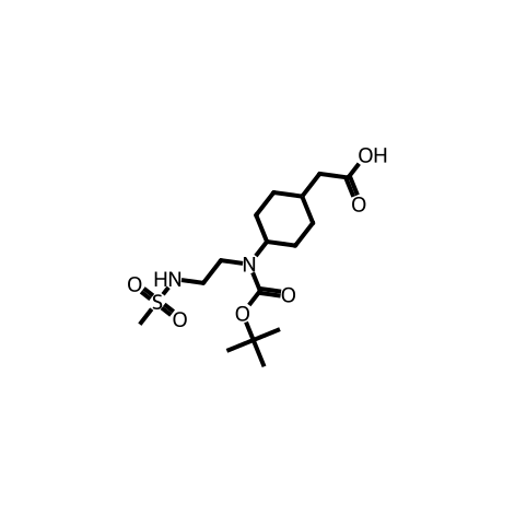 CC(C)(C)OC(=O)N(CCNS(C)(=O)=O)C1CCC(CC(=O)O)CC1